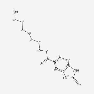 C=C1Nc2ccc(C(=O)CSCCCCCCO)cc2N1